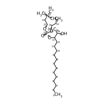 CCCCCCCCCCCCCC(OP(=O)(OCCC)OCC[N+](C)(C)C)C(C)O